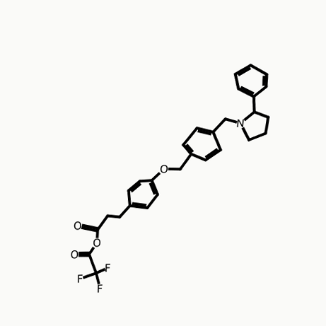 O=C(CCc1ccc(OCc2ccc(CN3CCCC3c3ccccc3)cc2)cc1)OC(=O)C(F)(F)F